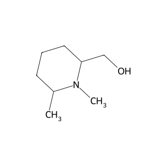 CC1CCCC(CO)N1C